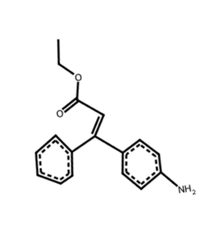 CCOC(=O)/C=C(\c1ccccc1)c1ccc(N)cc1